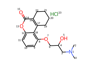 CN(C)CC(O)COc1cccc2oc(=O)c3c(c12)CCCC3.Cl